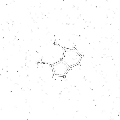 [CH2]CCCCCc1coc2cccc(Cl)c12